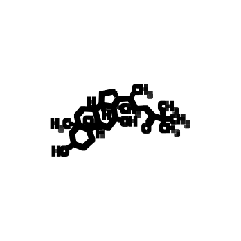 C[C@H](CCC(=O)C(C)(C)C)[C@H]1CC[C@H]2[C@@H]3CC[C@]4(C)C[C@H](O)CC[C@]4(C)[C@H]3C[C@H](O)[C@]12C